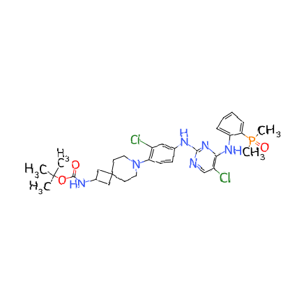 CC(C)(C)OC(=O)NC1CC2(CCN(c3ccc(Nc4ncc(Cl)c(Nc5ccccc5P(C)(C)=O)n4)cc3Cl)CC2)C1